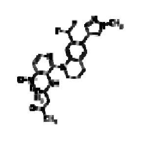 CC(=O)C[C@@H](C)Nc1c([N+](=O)[O-])ccnc1N1CCCc2cc(-c3cnn(C)c3)c(C(F)F)cc21